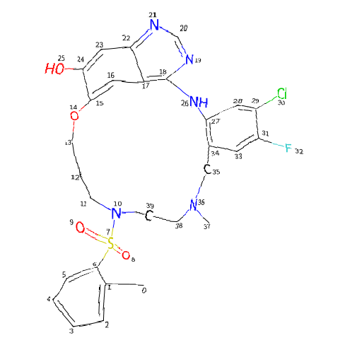 Cc1ccccc1S(=O)(=O)N1CCCOc2cc3c(ncnc3cc2O)Nc2cc(Cl)c(F)cc2CN(C)CC1